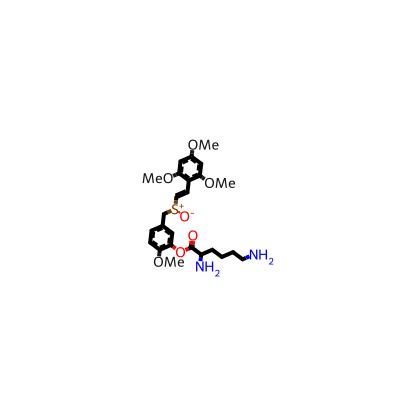 COc1cc(OC)c(/C=C/[S@+]([O-])Cc2ccc(OC)c(OC(=O)C(N)CCCCN)c2)c(OC)c1